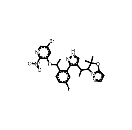 CC(Oc1cc(Br)cnc1[N+](=O)[O-])c1ccc(F)cc1-c1n[nH]cc1C(C)C1n2nccc2OC1(C)C